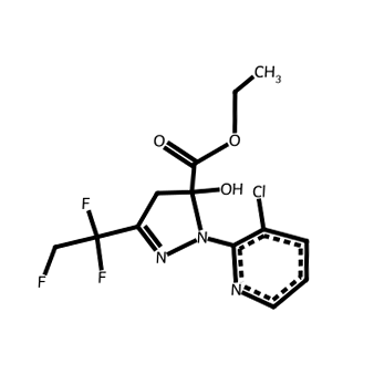 CCOC(=O)C1(O)CC(C(F)(F)CF)=NN1c1ncccc1Cl